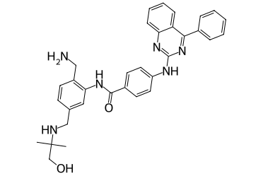 CC(C)(CO)NCc1ccc(CN)c(NC(=O)c2ccc(Nc3nc(-c4ccccc4)c4ccccc4n3)cc2)c1